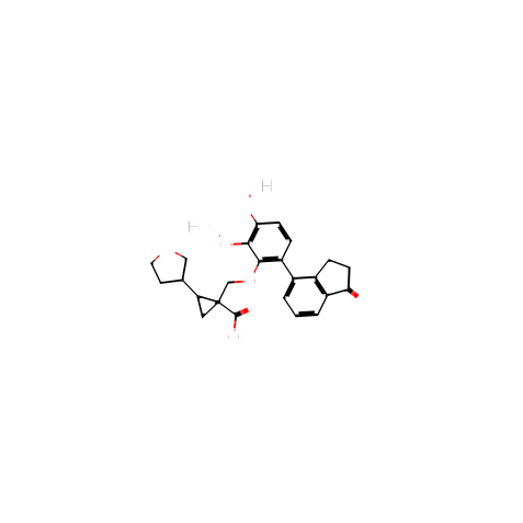 COc1ccc(-c2cccc3c2CCC3=O)c(OCC2(C(=O)O)CC2C2CCOC2)c1OC